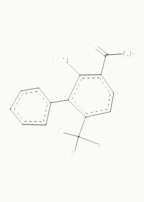 NC(=O)c1ccc(C(F)(F)F)c(-c2ccccc2)c1N